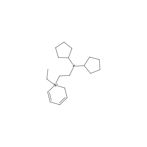 CC[N+]1(CCP(C2CCCC2)C2CCCC2)C=CC=CC1